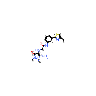 CCc1csc(-c2cccc(NC(=O)CNc3c(N)n(C)n(C)c3=O)c2)n1